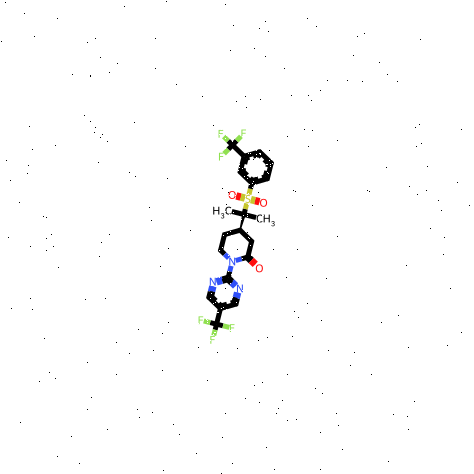 CC(C)([C@@H]1CCN(c2ncc(C(F)(F)F)cn2)C(=O)C1)S(=O)(=O)c1cccc(C(F)(F)F)c1